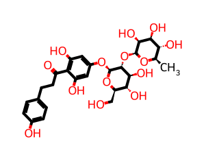 C[C@H]1O[C@@H](O[C@H]2[C@H](Oc3cc(O)c(C(=O)CCc4ccc(O)cc4)c(O)c3)O[C@H](CO)[C@@H](O)[C@@H]2O)[C@@H](O)[C@@H](O)[C@@H]1O